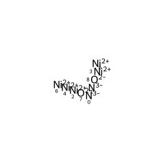 [N-3].[N-3].[Ni+2].[Ni+2].[Ni+2].[Ni+2].[Ni+2].[O-2].[O-2]